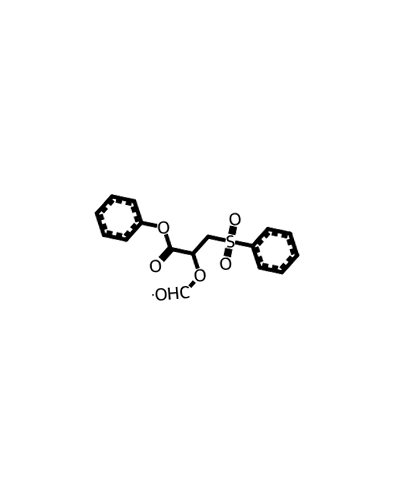 O=[C]OC(CS(=O)(=O)c1ccccc1)C(=O)Oc1ccccc1